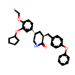 O=C1NC[C@H](c2ccc(OCI)c(OC3CCCC3)c2)C[C@H]1Cc1ccc(Oc2ccccc2)cc1